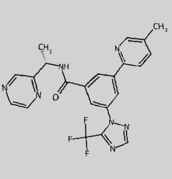 Cc1ccc(-c2cc(C(=O)N[C@@H](C)c3cnccn3)cc(-n3ncnc3C(F)(F)F)c2)nc1